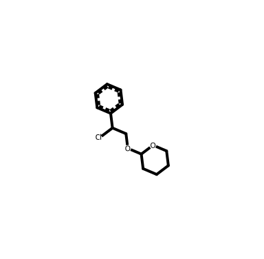 ClC(COC1CCCCO1)c1ccccc1